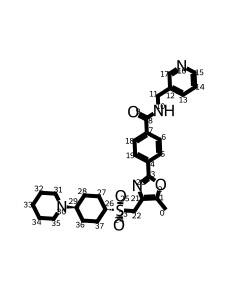 Cc1oc(-c2ccc(C(=O)NCc3cccnc3)cc2)nc1CS(=O)(=O)[C@H]1CC[C@H](N2CCCCC2)CC1